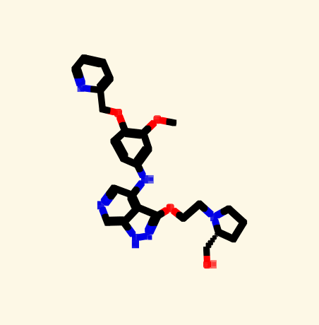 COc1cc(Nc2cncc3[nH]nc(OCCN4CCC[C@@H]4CO)c23)ccc1OCc1ccccn1